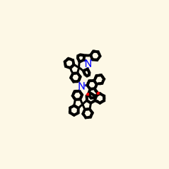 c1ccc2c(c1)-c1ccc(N(c3ccc4c(c3)C3(c5ccccc5-4)c4ccccc4-n4c5ccccc5c5cccc3c54)c3cc4ccccc4c4ccccc34)cc1C21c2ccccc2-c2c1ccc1ccccc21